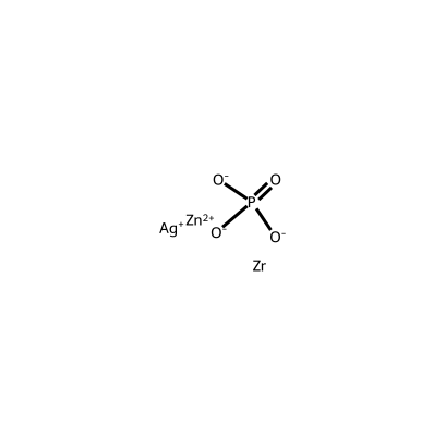 O=P([O-])([O-])[O-].[Ag+].[Zn+2].[Zr]